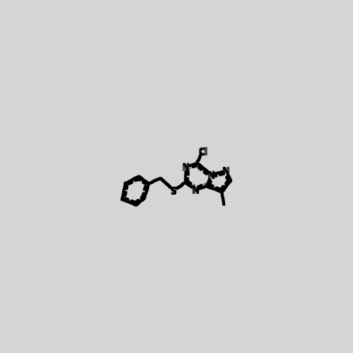 Cc1cnn2c(Cl)nc(SCc3ccccc3)nc12